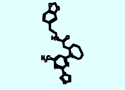 Cc1cc(N2CCCCC2CC(=O)NCCc2ccc3c(c2)OCO3)nc(-n2ccnc2)n1